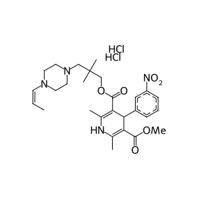 C/C=C\N1CCN(CC(C)(C)COC(=O)C2=C(C)NC(C)=C(C(=O)OC)C2c2cccc([N+](=O)[O-])c2)CC1.Cl.Cl